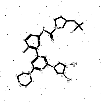 Cc1ccc(NC(=O)N2CCC(CC(F)(F)F)C2)cc1-c1cc(N2CCOCC2)nc(N2C[C@H](O)[C@@H](O)C2)c1